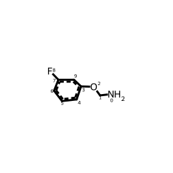 NCOc1cccc(F)c1